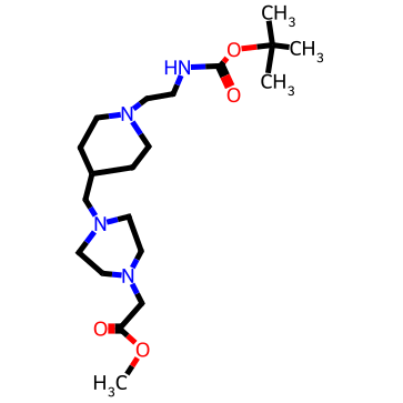 COC(=O)CN1CCN(CC2CCN(CCNC(=O)OC(C)(C)C)CC2)CC1